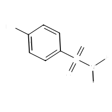 Cc1ccc(S(=O)(=O)N(F)F)cc1